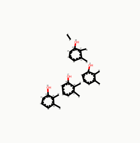 CC.Cc1cccc(O)c1C.Cc1cccc(O)c1C.Cc1cccc(O)c1C.Cc1cccc(O)c1C